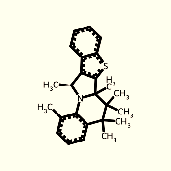 Cc1cccc2c1N1[C@@H](C)c3c(sc4ccccc34)C1(C)C(C)(C)C2(C)C